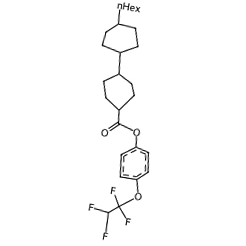 CCCCCCC1CCC(C2CCC(C(=O)Oc3ccc(OC(F)(F)C(F)F)cc3)CC2)CC1